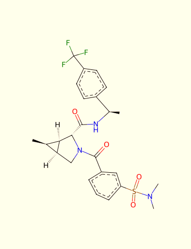 C[C@@H]1[C@@H]2CN(C(=O)c3cccc(S(=O)(=O)N(C)C)c3)[C@@H](C(=O)N[C@H](C)c3ccc(C(F)(F)F)cc3)[C@H]12